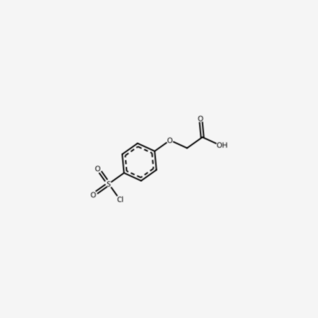 O=C(O)COc1ccc(S(=O)(=O)Cl)cc1